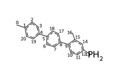 Cc1ccc(-c2ccc(-c3ccc(P)cc3C)cc2)cc1